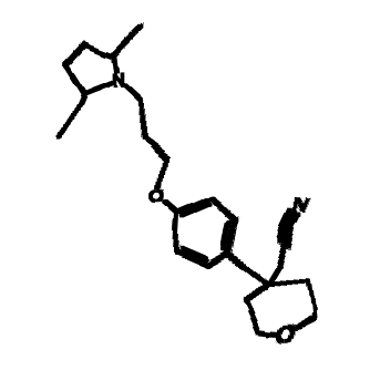 CC1CCC(C)N1CCCOc1ccc(C2(C#N)CCOCC2)cc1